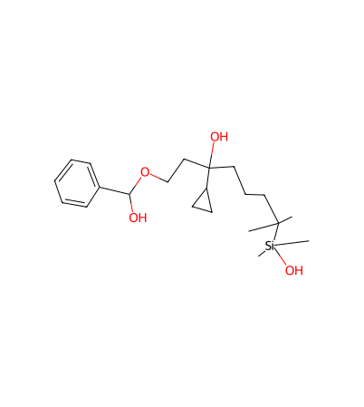 CC(C)(CCCC(O)(CCOC(O)c1ccccc1)C1CC1)[Si](C)(C)O